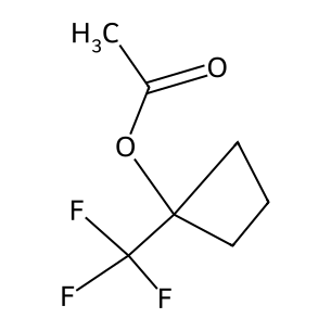 CC(=O)OC1(C(F)(F)F)CCC1